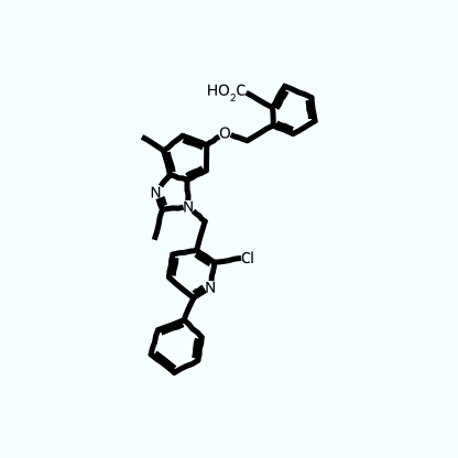 Cc1cc(OCc2ccccc2C(=O)O)cc2c1nc(C)n2Cc1ccc(-c2ccccc2)nc1Cl